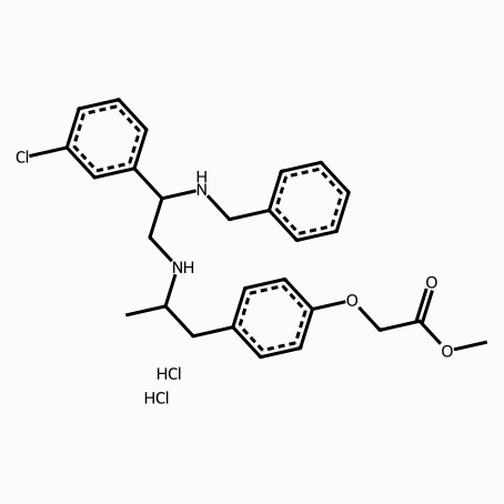 COC(=O)COc1ccc(CC(C)NCC(NCc2ccccc2)c2cccc(Cl)c2)cc1.Cl.Cl